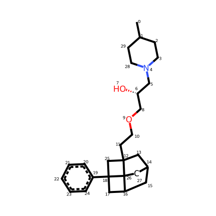 CC1CCN(C[C@@H](O)COCCC23CC4CC5CC(c6ccccc6)(C2)C53C4)CC1